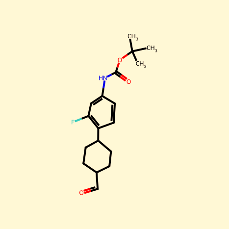 CC(C)(C)OC(=O)Nc1ccc(C2CCC(C=O)CC2)c(F)c1